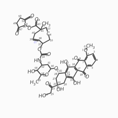 COc1cccc2c1C(=O)c1c(O)c3c(c(O)c1C2=O)C[C@@](O)(C(=O)CO)C[C@@H]3OC1CC(NC(=O)OC2/C=C/CC(C)(C(=O)ON3C(=O)CCC3=O)CCC2)C(O)C(C)O1